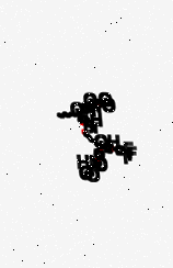 CCCCCCC(O)(c1ccc(Br)cc1)c1ccc(C(=O)NCCC(=O)OC)cc1.CCCCCCC(O)(c1ccc(C(=O)NCCC(=O)OC)cc1)c1ccc(-c2ccc(C(F)(F)F)cc2)cc1